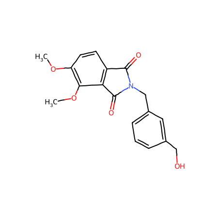 COc1ccc2c(c1OC)C(=O)N(Cc1cccc(CO)c1)C2=O